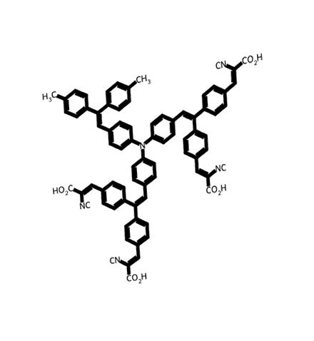 [C-]#[N+]/C(=C\c1ccc(C(=Cc2ccc(N(c3ccc(C=C(c4ccc(C)cc4)c4ccc(C)cc4)cc3)c3ccc(C=C(c4ccc(/C=C(\[N+]#[C-])C(=O)O)cc4)c4ccc(/C=C(\[N+]#[C-])C(=O)O)cc4)cc3)cc2)c2ccc(/C=C(\[N+]#[C-])C(=O)O)cc2)cc1)C(=O)O